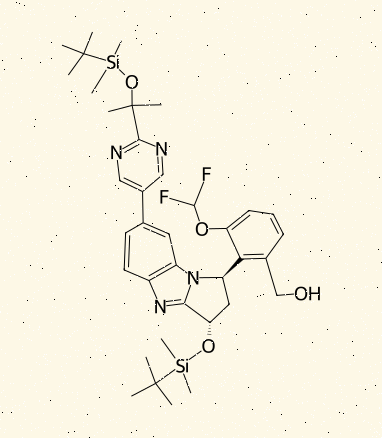 CC(C)(O[Si](C)(C)C(C)(C)C)c1ncc(-c2ccc3nc4n(c3c2)[C@@H](c2c(CO)cccc2OC(F)F)C[C@@H]4O[Si](C)(C)C(C)(C)C)cn1